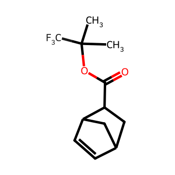 CC(C)(OC(=O)C1CC2C=CC1C2)C(F)(F)F